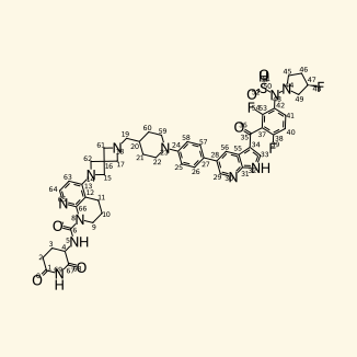 O=C1CCC(NC(=O)N2CCCc3c(N4CC5(CN(CC6CCN(c7ccc(-c8cnc9[nH]cc(C(=O)c%10c(F)ccc(N(N%11CC[C@@H](F)C%11)[SH](=O)=O)c%10F)c9c8)cc7)CC6)C5)C4)ccnc32)C(=O)N1